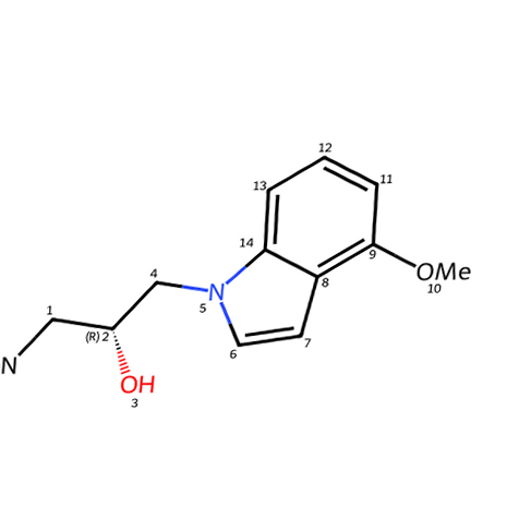 CNC[C@@H](O)Cn1ccc2c(OC)cccc21